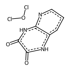 ClOCl.O=c1[nH]c2cccnc2[nH]c1=O